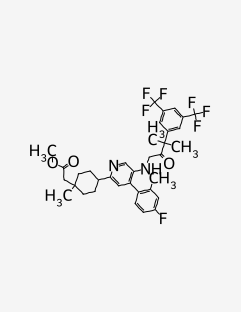 COC(=O)CC1(C)CCC(c2cc(-c3ccc(F)cc3C)c(NCC(=O)C(C)(C)c3cc(C(F)(F)F)cc(C(F)(F)F)c3)cn2)CC1